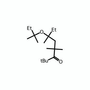 CCC(C)(C)OC(C)(CC)CC(C)(C)C(=O)C(C)(C)C